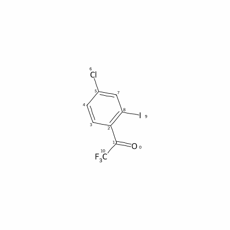 O=C(c1ccc(Cl)cc1I)C(F)(F)F